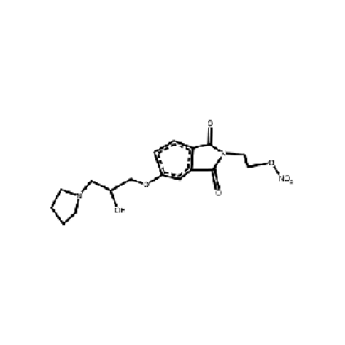 O=C1c2ccc(OCC(O)CN3CCCC3)cc2C(=O)N1CCO[N+](=O)[O-]